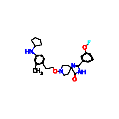 Cc1cc(NC2CCCC2)ccc1CCON1CCC2(CC1)N=C(c1cccc(OF)c1)NC2=O